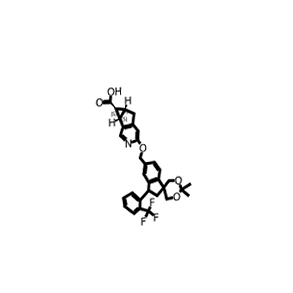 CC1(C)OCC2(CO1)CC(c1ccccc1C(F)(F)F)c1cc(COc3cc4c(cn3)[C@H]3[C@@H](C4)[C@@H]3C(=O)O)ccc12